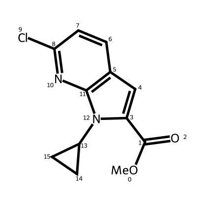 COC(=O)c1cc2ccc(Cl)nc2n1C1CC1